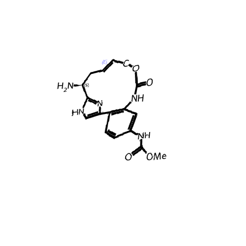 COC(=O)Nc1ccc2c(c1)NC(=O)OC/C=C/C[C@H](N)c1nc-2c[nH]1